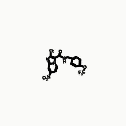 CCc1nc2cc([N+](=O)[O-])ccn2c1C(=O)NCc1ccc(OC(F)(F)F)cc1